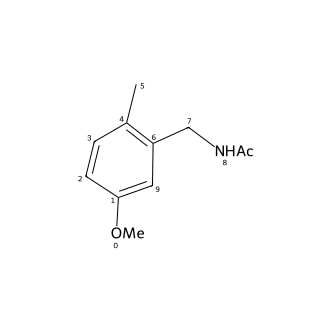 COc1ccc(C)c(CNC(C)=O)c1